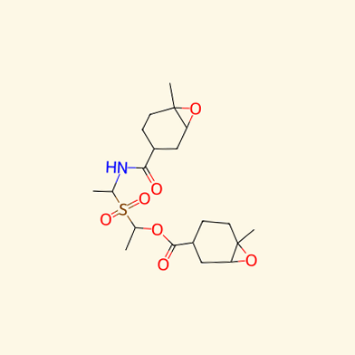 CC(NC(=O)C1CCC2(C)OC2C1)S(=O)(=O)C(C)OC(=O)C1CCC2(C)OC2C1